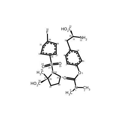 CN(C)C(=O)Oc1ccc(C[C@H](N)C(=O)O)cc1.C[C@@]1(C(=O)O)CCCN1S(=O)(=O)c1ccc(F)cc1